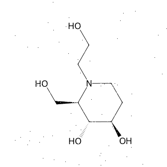 OCCN1CC[C@@H](O)[C@H](O)[C@H]1CO